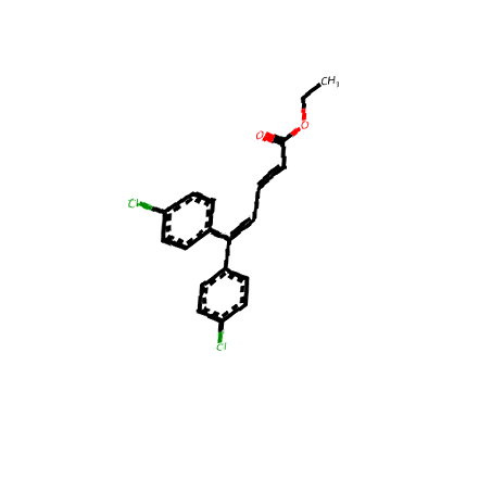 CCOC(=O)/C=C/C=C(c1ccc(Cl)cc1)c1ccc(Cl)cc1